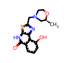 C[C@H]1CN(Cc2nc3c([nH]c(=O)c4cccc(O)c43)s2)CCO1